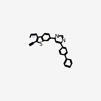 C#Cc1sc2cc(-c3cc(-c4ccc(-c5ccccc5)cc4)ncn3)ccc2c1/C=C\C